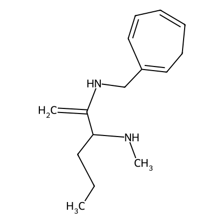 C=C(NCC1=CCC=CC=C1)C(CCC)NC